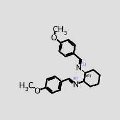 COc1ccc(/C=N/C2CCCC[C@H]2/N=C/c2ccc(OC)cc2)cc1